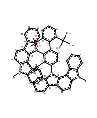 Cn1c2ccccc2c2c1ccc1c3ccccc3n(-c3ccc(-c4c(C(F)(F)F)cccc4C(F)(F)F)c(-n4c5ccccc5c5ccc6c(c7ccccc7n6C)c54)c3C#N)c12